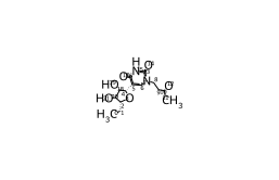 CC[C@H]1O[C@@H](c2cn(CCC(C)=O)c(=O)[nH]c2=O)[C@@H](O)C1O